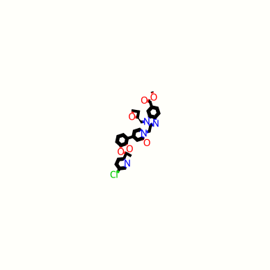 COC(=O)c1ccc2nc(Cn3ccc(-c4cccc5c4OC(C)(c4ccc(Cl)cn4)O5)cc3=O)n(C[C@@H]3CCO3)c2c1